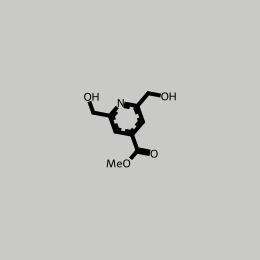 COC(=O)c1cc(CO)nc(CO)c1